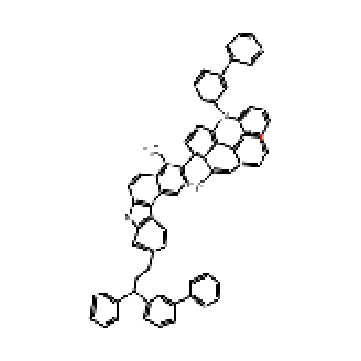 Cc1c(-c2ccc(N(c3ccccc3)c3cccc(-c4ccccc4)c3)c3c2c(C)cc2ccccc23)ccc2c1ccc1sc3cc(CCC(c4ccccc4)c4cccc(-c5ccccc5)c4)ccc3c12